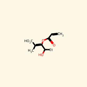 C=CC(=O)OC(=C(C)C(=O)O)C(O)CC